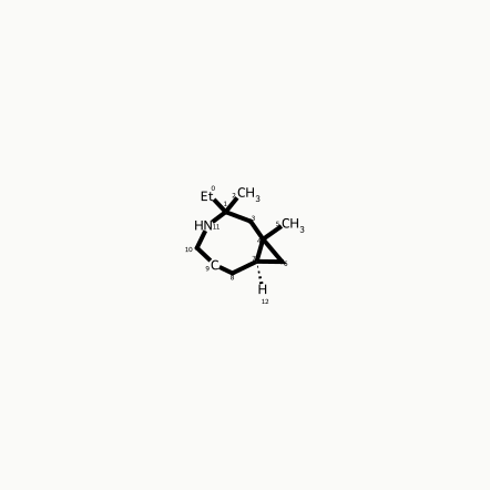 CCC1(C)CC2(C)C[C@H]2CCCN1